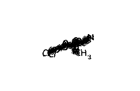 Cc1cccc(C(=O)N2Cc3cc4c(cc3CC2C(=O)N[C@@H](Cc2ccc(-c3ccc(C#N)cc3)cc2)C(=O)O)OC[C@H](c2ccc(OCc3ccc(Cl)c(Cl)c3)cc2)O4)c1